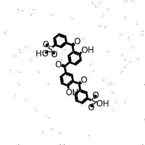 O=C(c1ccc(O)c(C(=O)c2cccc(S(=O)(=O)O)c2)c1)c1ccc(O)c(C(=O)c2cccc(S(=O)(=O)O)c2)c1